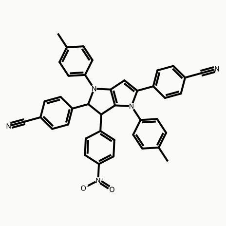 Cc1ccc(N2c3cc(-c4ccc(C#N)cc4)n(-c4ccc(C)cc4)c3C(c3ccc([N+](=O)[O-])cc3)C2c2ccc(C#N)cc2)cc1